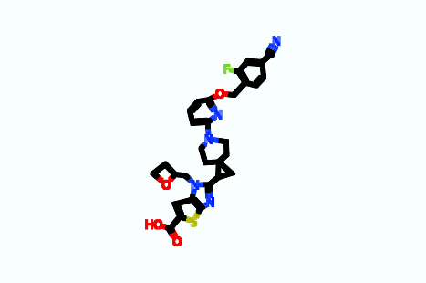 N#Cc1ccc(COc2cccc(N3CCC4(CC3)CC4c3nc4sc(C(=O)O)cc4n3CC3CCO3)n2)c(F)c1